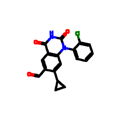 O=Cc1cc2c(=O)[nH]c(=O)n(-c3ccccc3Cl)c2cc1C1CC1